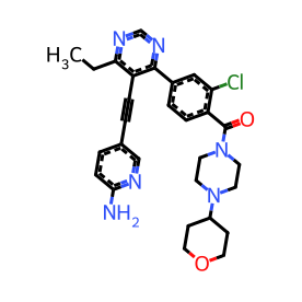 CCc1ncnc(-c2ccc(C(=O)N3CCN(C4CCOCC4)CC3)c(Cl)c2)c1C#Cc1ccc(N)nc1